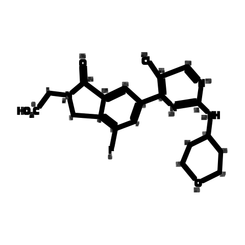 O=C(O)CN1Cc2c(F)cc(-c3nc(NC4CCOCC4)ncc3Cl)cc2C1=O